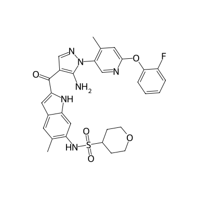 Cc1cc2cc(C(=O)c3cnn(-c4cnc(Oc5ccccc5F)cc4C)c3N)[nH]c2cc1NS(=O)(=O)C1CCOCC1